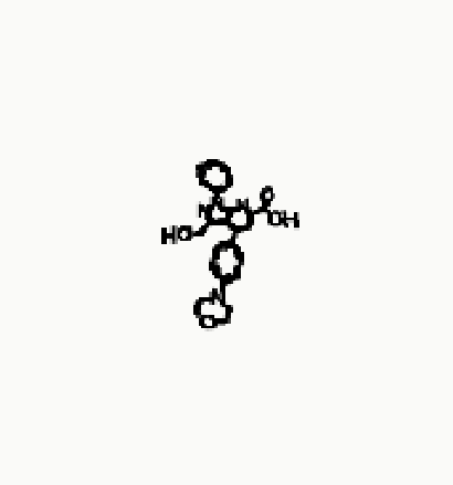 O=C(O)c1cc(-c2ccc(N3CCOCC3)cc2)c2c(CO)nn(-c3ccccc3)c2n1